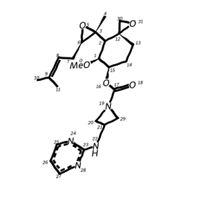 CO[C@H]1C([C@@]2(C)O[C@@H]2CC=C(C)C)[C@]2(CC[C@H]1OC(=O)N1CC(Nc3ncccn3)C1)CO2